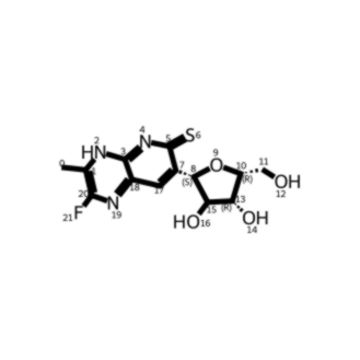 Cc1[nH]c2nc(=S)c([C@@H]3O[C@H](CO)[C@H](O)C3O)cc-2nc1F